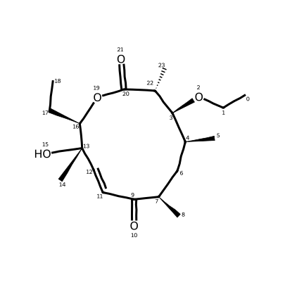 CCO[C@H]1[C@@H](C)C[C@@H](C)C(=O)/C=C/[C@](C)(O)[C@@H](CC)OC(=O)[C@@H]1C